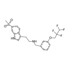 CS(=O)(=O)c1ccc2c(CCNCc3cccc(OCC(F)(F)C(F)F)c3)c[nH]c2c1